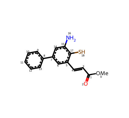 COC(=O)/C=C/c1cc(-c2ccccc2)cc(N)c1S